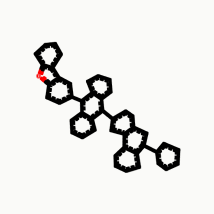 c1ccc(-c2cc3ccc(-c4c5ccccc5c(-c5ccc6oc7ccccc7c6c5)c5ccccc45)cc3c3ccccc23)cc1